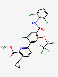 COC(=O)c1nc(-c2cc(O[C@@H](C)C(F)(F)F)c(C(=O)Nc3c(F)cccc3Cl)cc2F)ccc1C1CC1